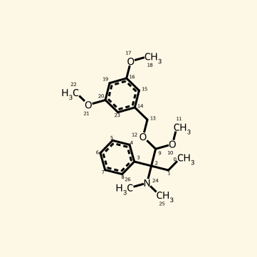 CCC(c1ccccc1)(C(OC)OCc1cc(OC)cc(OC)c1)N(C)C